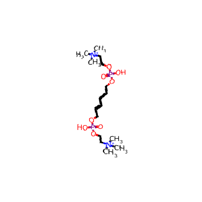 C[N+](C)(C)CCOP(=O)(O)OC/C=C/C=C/COP(=O)(O)OCC[N+](C)(C)C